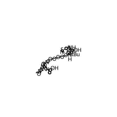 C=CC(=O)N1CCN(c2nc(O[C@H](C)CN3CCC(OCCOCCOCCOCCOCC(=O)N[C@H](C(=O)N4C[C@H](O)C[C@H]4C(=O)N[C@@H](C)c4ccc(-c5scnc5C)cc4)C(C)(C)C)CC3)nc3c2CCN(c2cc(O)cc4ccccc24)C3)CC1